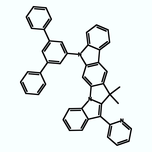 CC1(C)c2cc3c4ccccc4n(-c4cc(-c5ccccc5)cc(-c5ccccc5)c4)c3cc2-n2c1c(-c1ccccn1)c1ccccc12